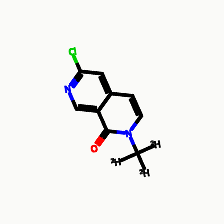 [2H]C([2H])([2H])n1ccc2cc(Cl)ncc2c1=O